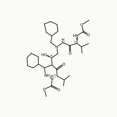 COC(=O)N[C@H](C(=O)NN(CC1CCCCC1)C[C@H](O)C(C(=O)[C@@H](NC(=O)OC)C(C)C)C(N)C1CCCCC1)C(C)C